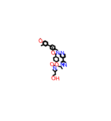 COc1ccc(C23CCC(CN(C(=O)C4CCC(OC(=O)N5CC(CCO)C5)CC4)c4cc(-c5cnn(C(C)C)c5)ccn4)(CC2)CC3)cc1C